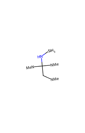 CNCC(NC)(NC)N[SiH3]